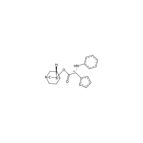 O=C(O[C@H]1CN2CCC1CC2)[C@H](Nc1ccccc1)c1cccs1